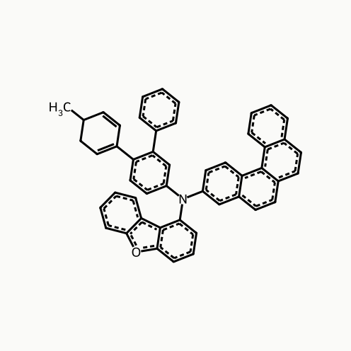 CC1C=CC(c2ccc(N(c3ccc4c(ccc5ccc6ccccc6c54)c3)c3cccc4oc5ccccc5c34)cc2-c2ccccc2)=CC1